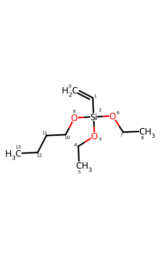 C=C[Si](OCC)(OCC)OCCCC